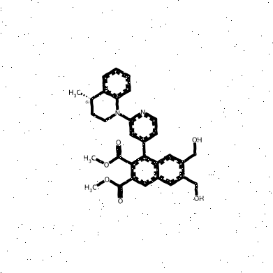 COC(=O)c1cc2cc(CO)c(CO)cc2c(-c2ccnc(N3CC[C@H](C)c4ccccc43)c2)c1C(=O)OC